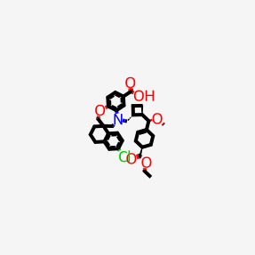 CCOC(=O)[C@H]1CC=C([C@H](OC)[C@@H]2CC[C@H]2CN2CC3(CCCc4cc(Cl)ccc43)COc3ccc(C(=O)O)cc32)CC1